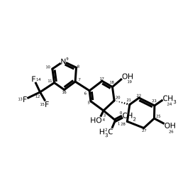 C=C(C)C1(O)C=C(c2cncc(C(F)(F)F)c2)C=C(O)[C@@H]1C1C=C(C)C(O)CC1